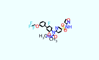 CNC(=O)N(c1ccc(S(=O)(=O)Nc2ccon2)cn1)c1cc(F)c(-c2cccc(OCC(F)(F)F)c2)cc1OC